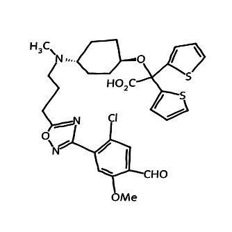 COc1cc(-c2noc(CCCN(C)[C@H]3CC[C@H](OC(C(=O)O)(c4cccs4)c4cccs4)CC3)n2)c(Cl)cc1C=O